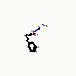 CCCCCCCCCCNC(=O)/C=C/C=C\CCc1ccccc1